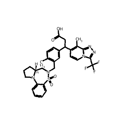 Cc1ccc(C(CC(=O)O)c2ccn3c(C(F)(F)F)nnc3c2C)cc1CN1C[C@H]2CCCN2c2ccccc2S1(=O)=O